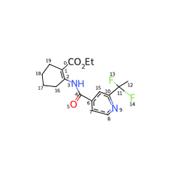 CCOC(=O)C1=C(NC(=O)c2ccnc(C(C)(F)F)c2)CCCC1